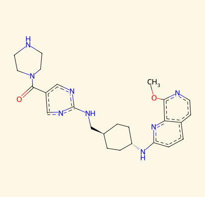 COc1nccc2ccc(N[C@H]3CC[C@H](CNc4ncc(C(=O)N5CCNCC5)cn4)CC3)nc12